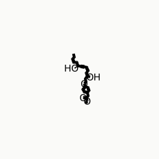 CC/C=C\C[C@H](O)C#C/C=C\C=C(O)CCOc1ccc(CC(=O)OC)cc1